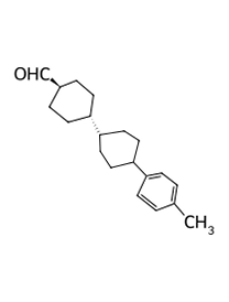 Cc1ccc(C2CCC([C@H]3CC[C@H](C=O)CC3)CC2)cc1